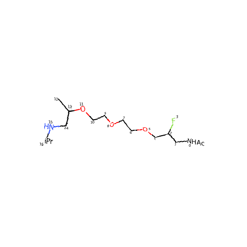 CC(=O)NCC(F)COCCOCCOC(C)CNC(C)C